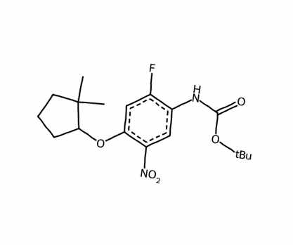 CC(C)(C)OC(=O)Nc1cc([N+](=O)[O-])c(OC2CCCC2(C)C)cc1F